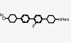 CCCCCCC1CCC(c2ccc(-c3ccc(C4CCC(OCCCC)CC4)cc3)c(F)c2)CC1